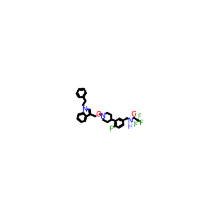 O=C(NCc1ccc(F)c(C2CCN(OCc3cn(CCc4ccccc4)c4ccccc34)CC2)c1)C(F)(F)F